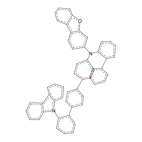 c1ccc(-c2ccccc2N(c2ccc(-c3ccc(-c4ccccc4-n4c5ccccc5c5ccccc54)cc3)cc2)c2ccc3c(c2)oc2ccccc23)cc1